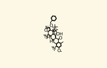 COc1cc(C)c2c(c1N(C)C)C[C@H]1C[C@H]3[C@H](N(C)C)c4onc(OCc5ccccc5)c4C(=O)[C@@]3(O[Si](C)(C)C(C)(C)C)C(O)=C1C2=O